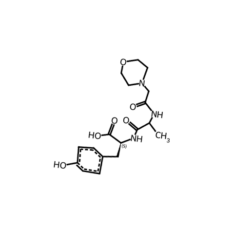 CC(NC(=O)CN1CCOCC1)C(=O)N[C@@H](Cc1ccc(O)cc1)C(=O)O